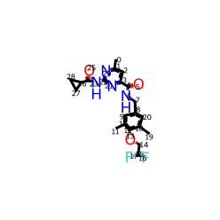 Cc1cc(C(=O)NCc2cc(C)c(OCC(F)F)c(C)c2)nc(NC(=O)C2CC2)n1